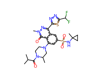 CC(C)C(=O)N1CCN(c2cc(S(=O)(=O)NC3(C)CC3)cc3c(-c4nnc(C(F)F)s4)nn(C)c(=O)c23)CC1C